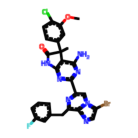 COc1cc(C2(C)C(=O)Nc3nc(-c4cn5c(Br)cnc5c(Cc5cccc(F)c5)n4)nc(N)c32)ccc1Cl